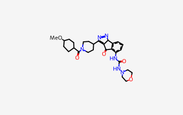 COC1CCC(C(=O)N2CCC(C3=C4C(=O)c5c(NC(=O)NN6CCOCC6)cccc5C4N=N3)CC2)CC1